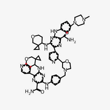 CN1CCN(c2ccc(Nc3nc(NC4CCOCC45CC5)c(-c4ccnc(C5CN(Cc6ccc(Nc7nc(NC8CCOCC89CC9)c(-c8ccncc8)nc7C(N)=O)cc6)CCO5)c4)nc3C(N)=O)cc2)CC1